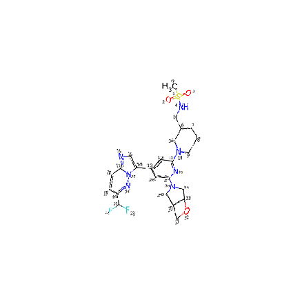 CS(=O)(=O)NCC1CCCN(c2cc(-c3cnc4ccc(C(F)F)nn34)cc(N3CC4COC4C3)n2)C1